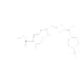 COCCNC(=O)c1cc2cn(CC3CN(C(=O)c4ccc(C(F)(F)F)cc4)C3)nc2cc1C